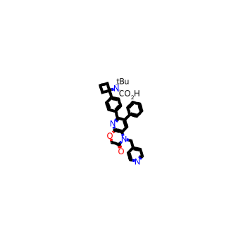 CC(C)(C)N(C(=O)O)C1(c2ccc(-c3nc4c(cc3-c3ccccc3)N(Cc3ccncc3)C(=O)CO4)cc2)CCC1